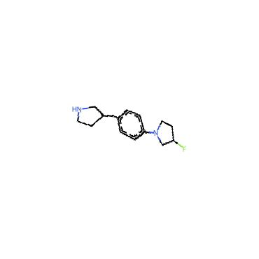 FC1CCN(c2ccc(C3CCNC3)cc2)C1